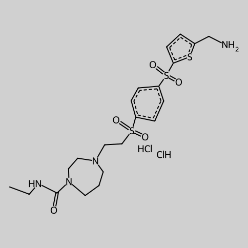 CCNC(=O)N1CCCN(CCS(=O)(=O)c2ccc(S(=O)(=O)c3ccc(CN)s3)cc2)CC1.Cl.Cl